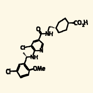 COc1ccc(Cl)cc1[C@H](C)Nc1ncc(C(=O)NC[C@H]2CC[C@H](C(=O)O)CC2)cc1Cl